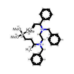 C=CC(c1ccccc1)N(CCN(Cc1ccccc1)C(C)CC[Si](OC)(OC)OC)Cc1ccccc1